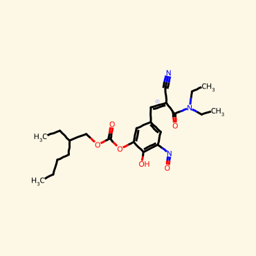 CCCCC(CC)COC(=O)Oc1cc(/C=C(/C#N)C(=O)N(CC)CC)cc(N=O)c1O